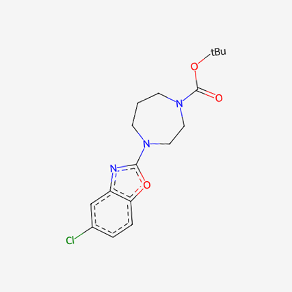 CC(C)(C)OC(=O)N1CCCN(c2nc3cc(Cl)ccc3o2)CC1